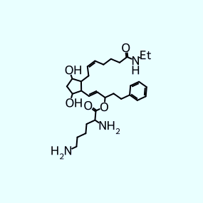 CCNC(=O)CCC/C=C\CC1C(O)CC(O)C1/C=C/C(CCc1ccccc1)OC(=O)C(N)CCCCN